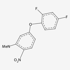 CNc1cc(Oc2ccc(F)cc2F)ccc1[N+](=O)[O-]